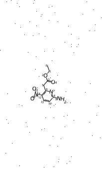 CCOC(=O)Cc1nc(N)ccc1[N+](=O)[O-]